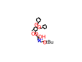 Cc1cc(OCc2ccccc2)c(OCc2ccccc2)cc1C(=O)OC[C@@H](O)C[N+](C)(C)CCOC(C)(C)C